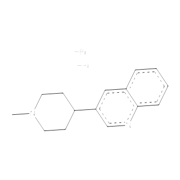 Br.Br.CN1CCC(c2cnc3ccccc3c2)CC1